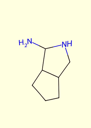 NC1NCC2CCCC21